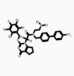 [2H]c1c([2H])c(CSc2nc(=O)c3c(n2C([2H])([2H])C(=O)N(CCN(CC)CC)Cc2ccc(-c4ccc(C(F)(F)F)cc4)cc2)CCC3)c([2H])c([2H])c1F